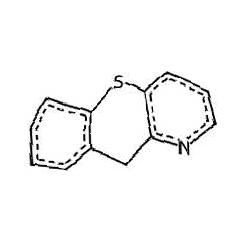 c1ccc2c(c1)Cc1ncccc1S2